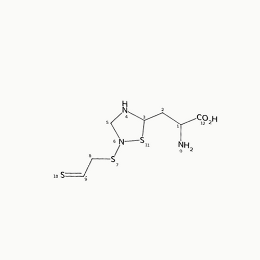 NC(CC1NCN(SC[C]=S)S1)C(=O)O